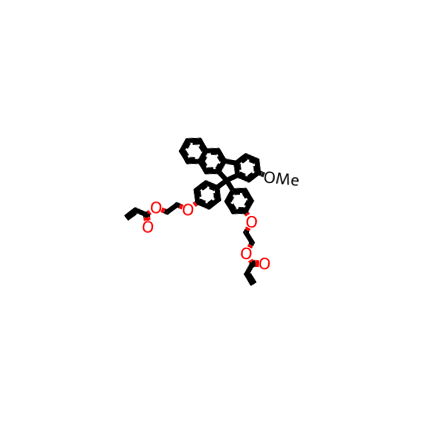 C=CC(=O)OCCOc1ccc(C2(c3ccc(OCCOC(=O)C=C)cc3)c3cc(OC)ccc3-c3cc4ccccc4cc32)cc1